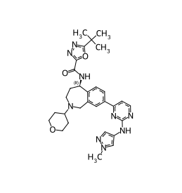 Cn1cc(Nc2nccc(-c3ccc4c(c3)CN(C3CCOCC3)CC[C@H]4NC(=O)c3nnc(C(C)(C)C)o3)n2)cn1